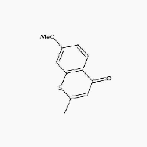 COc1ccc2c(=O)cc(C)sc2c1